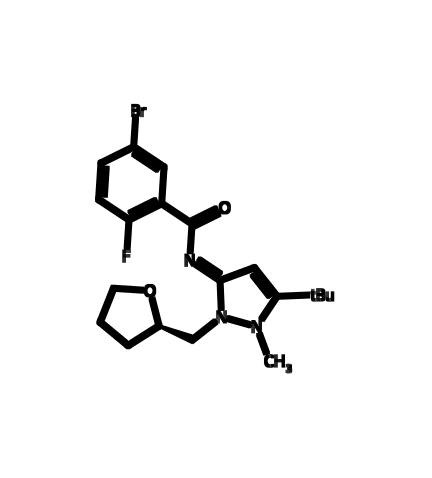 Cn1c(C(C)(C)C)c/c(=N\C(=O)c2cc(Br)ccc2F)n1C[C@H]1CCCO1